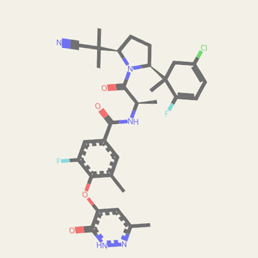 Cc1cc(Oc2c(C)cc(C(=O)N[C@H](C)C(=O)N3[C@H](C4(C)CC(Cl)=CC=C4F)CC[C@@H]3C(C)(C)C#N)cc2F)c(=O)[nH]n1